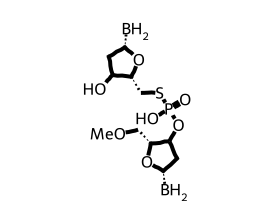 B[C@H]1CC(O)[C@@H](CSP(=O)(O)OC2C[C@H](B)O[C@@H]2COC)O1